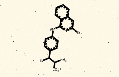 CCc1cc2ccccc2c(Nc2ccc(C(CC)C(N)C(=O)O)cc2)n1